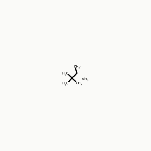 [AlH3].[CH2]CC(C)(C)C